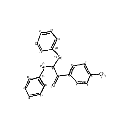 O=C(c1ccc(C(F)(F)F)cc1)C([Se]c1ccccc1)[Se]c1ccccc1